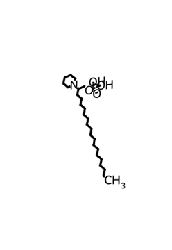 CCCCCCCCCCCCCCCCCCC(COP(=O)(O)O)N1CCCCC1